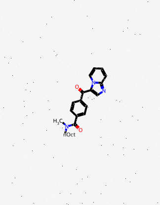 CCCCCCCCN(C)C(=O)c1ccc(C(=O)c2cnc3ccccn23)cc1